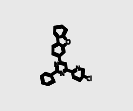 Clc1ccc(-c2cc(-c3ccc4c(c3)oc3ccccc34)nc(-c3ccccc3)n2)nc1